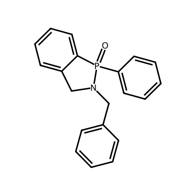 O=P1(c2ccccc2)c2ccccc2CN1Cc1ccccc1